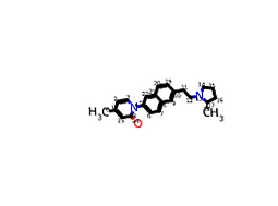 Cc1ccn(-c2ccc3cc(CCN4CCC[C@H]4C)ccc3c2)c(=O)c1